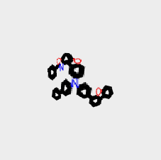 c1ccc(-c2ccc(N(c3ccc(-c4cccc5c4oc4ccccc45)cc3)c3ccc4oc5ccc6oc(-c7ccccc7)nc6c5c4c3)cc2)cc1